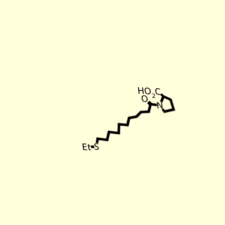 CCSCCCCCCCCCCC(=O)N1CCCC1C(=O)O